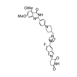 COc1cc(OC)c2c(=O)[nH]c(-c3ccc(N4CCC(CN5CC6CCC5CN6c5cc6cn(C7CCC(=O)NC7=O)cc6cc5F)CC4)cc3)nc2c1